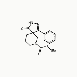 CC(C)(C)OC(=O)N1CCCC2(C1)C(=O)NN=C2c1ccccc1